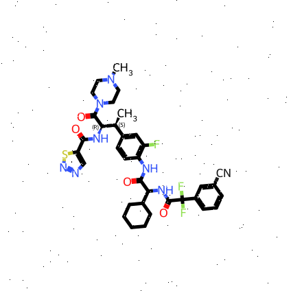 C[C@@H](c1ccc(NC(=O)C(NC(=O)C(F)(F)c2cccc(C#N)c2)C2CCCCC2)c(F)c1)[C@@H](NC(=O)c1cnns1)C(=O)N1CCN(C)CC1